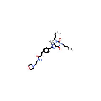 CCCCN1C(=O)C2=NC(c3ccc(/C=C/C(=O)NCCN4CCOCC4)cc3)=NC2(C)N(CCCC)C1=O